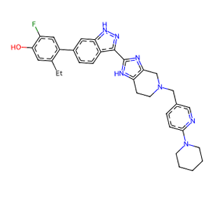 CCc1cc(O)c(F)cc1-c1ccc2c(-c3nc4c([nH]3)CCN(Cc3ccc(N5CCCCC5)nc3)C4)n[nH]c2c1